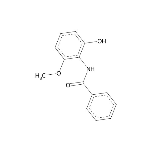 COc1cccc(O)c1NC(=O)c1ccccc1